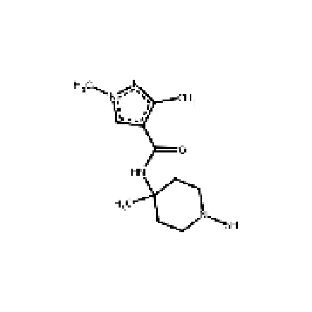 Cc1nn(C)cc1C(=O)NC1(C)CCN(S)CC1